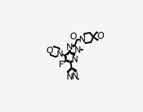 Cn1cc(-c2nc3c(nc(C(=O)N4CCC5(CC4)COC5)n3C)c(N3CCOCC3)c2F)cn1